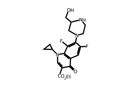 CCOC(=O)c1cn(C2CC2)c2c(F)c(N3CCNC(CO)C3)c(F)cc2c1=O